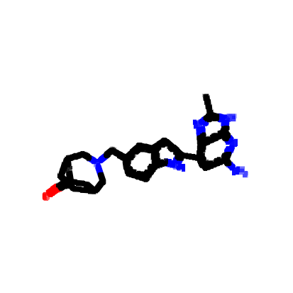 Cc1nc2c(-c3cc4cc(CN5CC6CCC(CC(=O)C6)C5)ccc4[nH]3)cc(N)nc2[nH]1